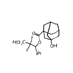 CC(C)C(OC(=O)C12CC3CC(CC(O)(C3)C1)C2)C(F)(F)C(=O)O